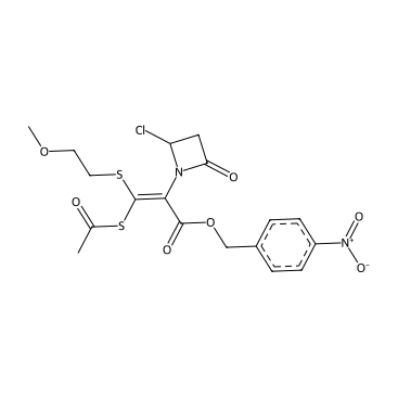 COCCSC(SC(C)=O)=C(C(=O)OCc1ccc([N+](=O)[O-])cc1)N1C(=O)CC1Cl